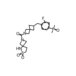 CP(C)(=O)c1ccc(CC2CC3(C2)CN(C(=O)N2CC4(CCS(=O)(=O)N4)C2)C3)c(F)c1